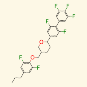 CCCc1cc(F)c(OCC2CCC(c3cc(F)c(-c4cc(F)c(F)c(F)c4)c(F)c3)OC2)c(F)c1